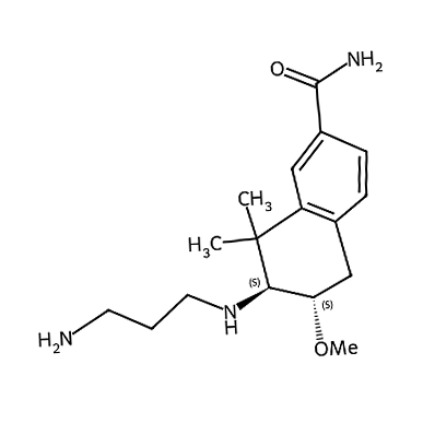 CO[C@H]1Cc2ccc(C(N)=O)cc2C(C)(C)[C@@H]1NCCCN